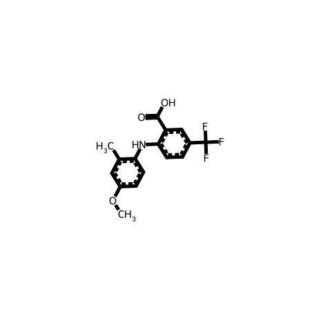 COc1ccc(Nc2ccc(C(F)(F)F)cc2C(=O)O)c(C)c1